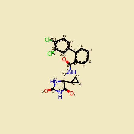 O=C1NC(=O)[C@](CNC(=O)c2ccccc2-c2ccc(Cl)c(Cl)c2)(C2CC2)N1